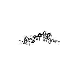 COC(=O)N[C@H](C(=O)N1CCC[C@H]1c1ncc(-c2ccc(-c3cnc([C@@H]4CCCN4C(=O)[C@@H](NC(=O)OC)C(C)C)[nH]3)cc2)[nH]1)C(C)C